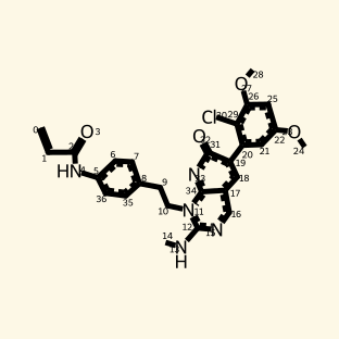 C=CC(=O)Nc1ccc(CCn2c(NC)ncc3cc(-c4cc(OC)cc(OC)c4Cl)c(=O)nc2-3)cc1